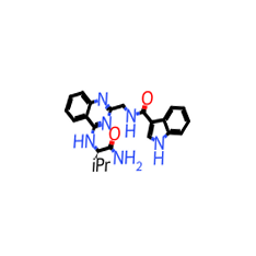 CC(C)[C@H](Nc1nc(CNC(=O)c2c[nH]c3ccccc23)nc2ccccc12)C(N)=O